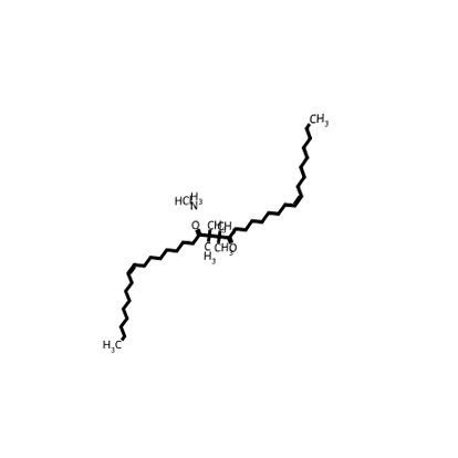 CCCCCCCC/C=C\CCCCCCCC(=O)C(C)(C)C(C)(C)C(=O)CCCCCCC/C=C\CCCCCCCC.Cl.N